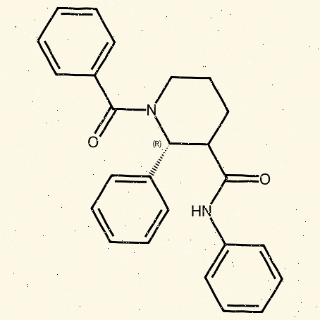 O=C(Nc1ccccc1)C1CCCN(C(=O)c2ccccc2)[C@H]1c1ccccc1